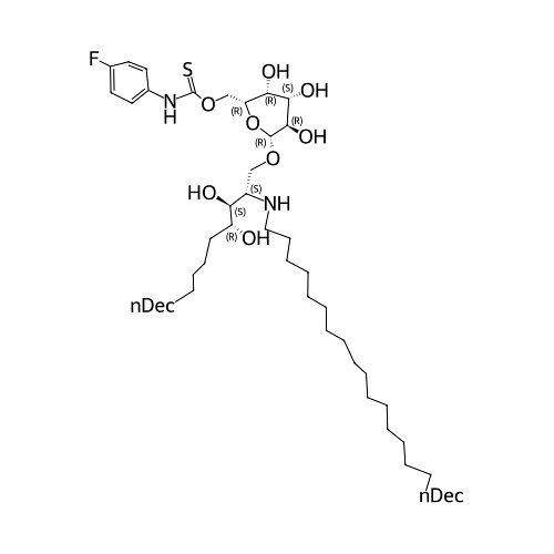 CCCCCCCCCCCCCCCCCCCCCCCCCCN[C@@H](CO[C@@H]1O[C@H](COC(=S)Nc2ccc(F)cc2)[C@H](O)[C@H](O)[C@H]1O)[C@H](O)[C@H](O)CCCCCCCCCCCCCC